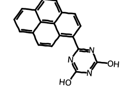 Oc1nc(O)nc(-c2ccc3ccc4cccc5ccc2c3c45)n1